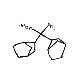 CCCCCC(P)(C1CC2CCC1C2)C1CC2CCC1C2